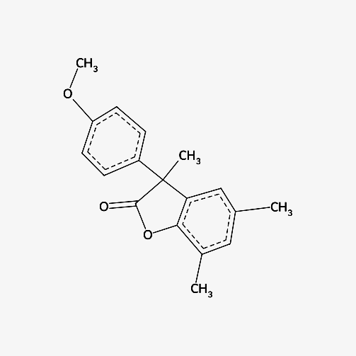 COc1ccc(C2(C)C(=O)Oc3c(C)cc(C)cc32)cc1